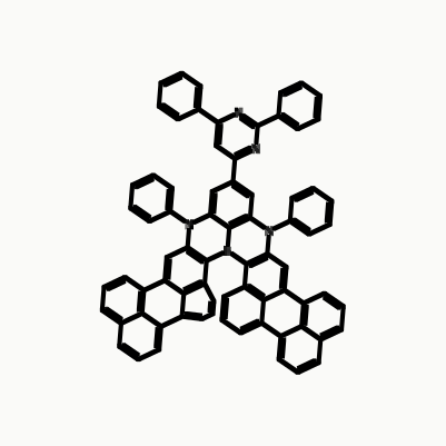 c1ccc(-c2cc(-c3cc4c5c(c3)N(c3ccccc3)c3cc6c7cccc8cccc(c9cccc(c3B5c3c(cc5c%10cccc%11cccc(c%12cccc3c%125)c%11%10)N4c3ccccc3)c96)c87)nc(-c3ccccc3)n2)cc1